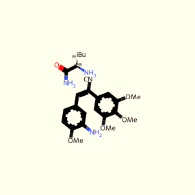 CC[C@@H](C)[C@@H](N)C(N)=O.COc1ccc(C=C(C#N)c2cc(OC)c(OC)c(OC)c2)cc1N